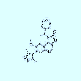 COc1cc2c(cc1-c1c(C)noc1C)ncc1oc(=O)n(C(C)c3ccncc3)c12